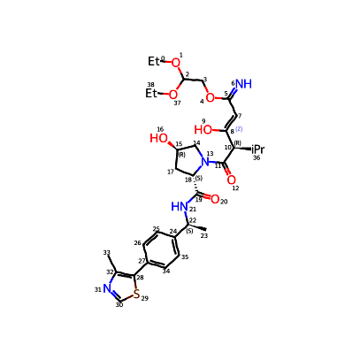 CCOC(COC(=N)/C=C(\O)[C@H](C(=O)N1C[C@H](O)C[C@H]1C(=O)N[C@@H](C)c1ccc(-c2scnc2C)cc1)C(C)C)OCC